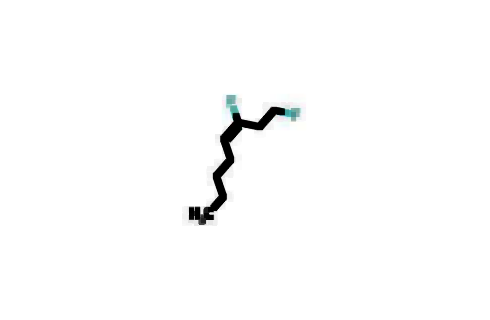 CCCC/C=C(/F)CCF